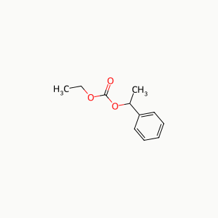 CCOC(=O)OC(C)c1ccccc1